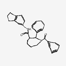 O=C(Nc1ccc2c(c1)CCC2)C1CCCN(C(=O)c2ccccc2)C1c1ccccc1